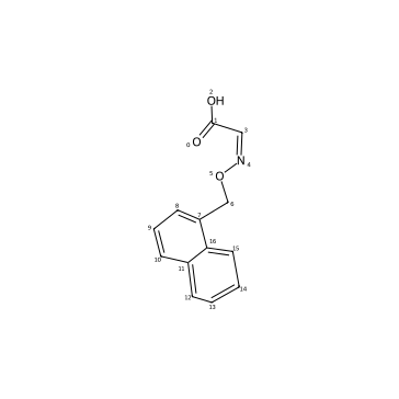 O=C(O)/C=N\OCc1cccc2ccccc12